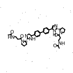 CC(=O)NCCC(=O)N1CCC[C@H]1C1=NCC(c2ccc(-c3ccc(-c4cnc([C@@H]5CCCN5C(=O)CCNC(C)=O)[nH]4)cc3)cc2)N1